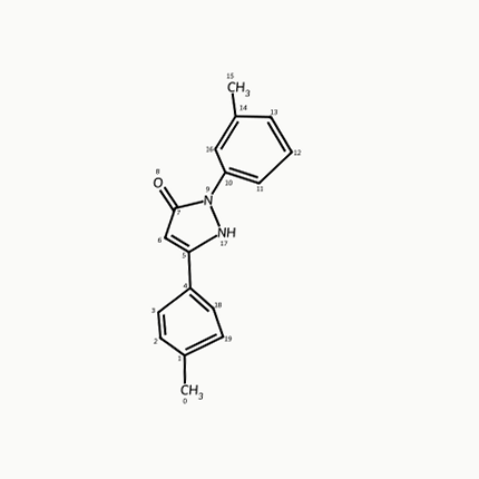 Cc1ccc(-c2cc(=O)n(-c3cccc(C)c3)[nH]2)cc1